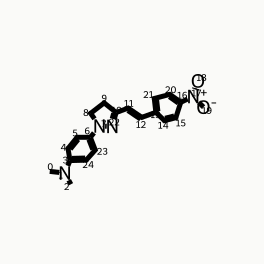 CN(C)c1ccc(N2CCC(C=Cc3ccc([N+](=O)[O-])cc3)=N2)cc1